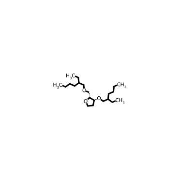 CCCCC(CC)COC[C@H]1OCC[C@H]1OCC(CC)CCCC